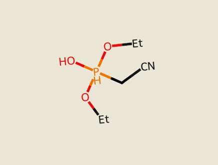 CCO[PH](O)(CC#N)OCC